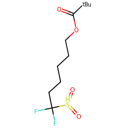 CC(C)(C)C(=O)OCCCCCC(F)(F)[SH](=O)=O